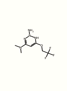 CN(C)C1=NN(N)NC(OCC(F)(F)F)=C1